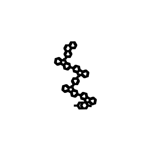 CC1CC2CC(C)C3(c4ccccc4-c4ccc(-c5ccc6c7ccccc7n(-c7ccc(-n8c9ccccc9c9ccc(-c%10ccc%11c%12ccccc%12n(-c%12ccc%13c(ccc%14ccccc%14%13)c%12)c%11c%10)cc98)cc7)c6c5)cc43)C(C1)C2